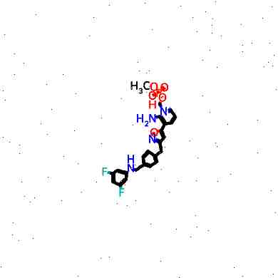 COP(=O)(O)OC[n+]1cccc(-c2cc(Cc3ccc(CNc4cc(F)cc(F)c4)cc3)no2)c1N